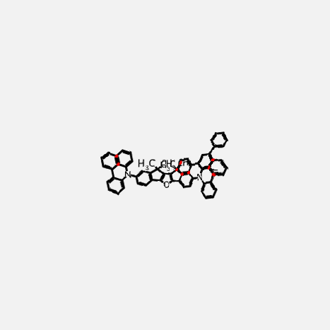 CC1(C)c2cc(N(c3ccccc3)c3ccccc3-c3ccccc3)ccc2-c2oc3c(c21)C(C)(C)c1cc(N(c2ccccc2-c2ccccc2)c2c(F)cc(-c4ccccc4)cc2-c2ccccc2)ccc1-3